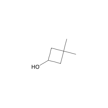 CC1(C)CC(O)C1